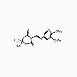 COc1cc(N=CC2C(=O)OC(C)(C)OC2=O)cnc1OC